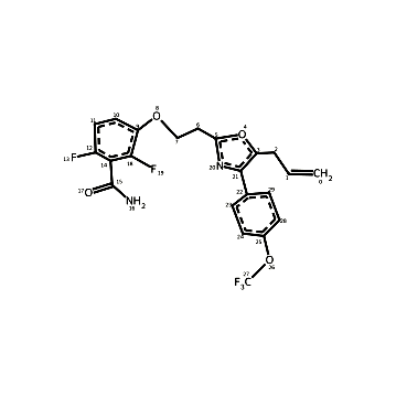 C=CCc1oc(CCOc2ccc(F)c(C(N)=O)c2F)nc1-c1ccc(OC(F)(F)F)cc1